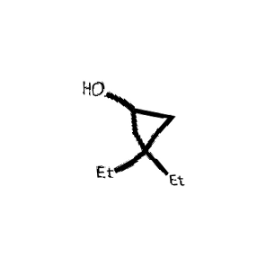 CCC1(CC)CC1O